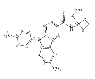 Cc1ccc2c(c1)c1cc(C(=O)NC3(CO)CCC3)ccc1n2-c1ccc(C(F)(F)F)cc1